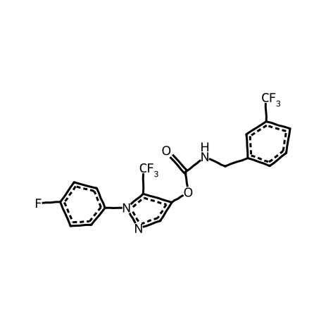 O=C(NCc1cccc(C(F)(F)F)c1)Oc1cnn(-c2ccc(F)cc2)c1C(F)(F)F